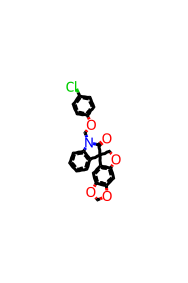 O=C1N(COc2ccc(Cl)cc2)c2ccccc2C12COc1cc3c(cc12)OCO3